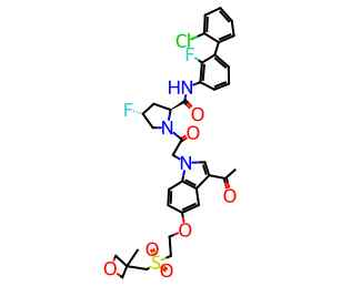 CC(=O)c1cn(CC(=O)N2C[C@H](F)C[C@H]2C(=O)Nc2cccc(-c3ccccc3Cl)c2F)c2ccc(OCCS(=O)(=O)CC3(C)COC3)cc12